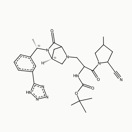 CC1CC(C#N)N(C(=O)C(CN2C[C@@H]3CC2C(=O)N3[C@@H](C)c2cccc(-c3nnn[nH]3)c2)NC(=O)OC(C)(C)C)C1